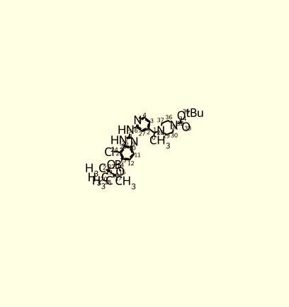 CC(c1ccnc(Nc2nc3ccc(B4OC(C)(C)C(C)(C)O4)c(Cl)c3[nH]2)c1)N1CCN(C(=O)OC(C)(C)C)CC1